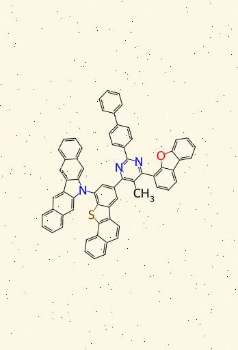 Cc1c(-c2cc(-n3c4cc5ccccc5cc4c4cc5ccccc5cc43)c3sc4c5ccccc5ccc4c3c2)nc(-c2ccc(-c3ccccc3)cc2)nc1-c1cccc2c1oc1ccccc12